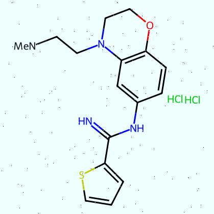 CNCCN1CCOc2ccc(NC(=N)c3cccs3)cc21.Cl.Cl